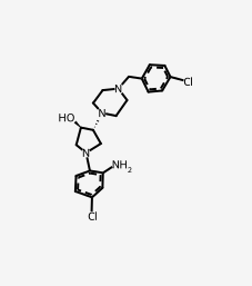 Nc1cc(Cl)ccc1N1C[C@@H](O)[C@H](N2CCN(Cc3ccc(Cl)cc3)CC2)C1